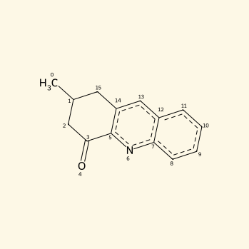 CC1CC(=O)c2nc3ccccc3cc2C1